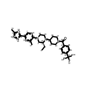 CC[C@H]1CN(c2ncc(-c3nnc(C)o3)nc2C)CCN1C1CCN(C(=O)c2ccc(C(F)(F)F)cc2)CC1